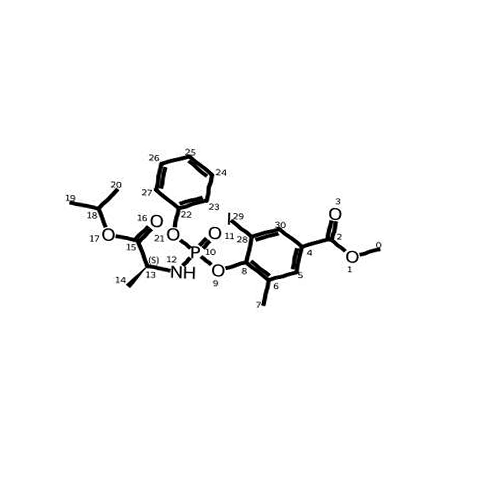 COC(=O)c1cc(C)c(OP(=O)(N[C@@H](C)C(=O)OC(C)C)Oc2ccccc2)c(I)c1